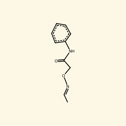 C/C=N/OCC(=O)Nc1ccccc1